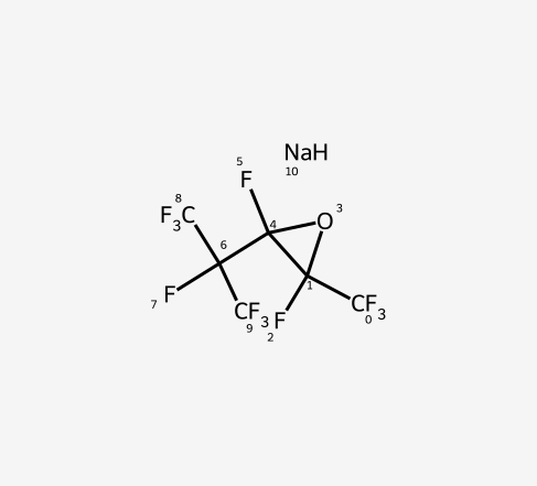 FC(F)(F)C1(F)OC1(F)C(F)(C(F)(F)F)C(F)(F)F.[NaH]